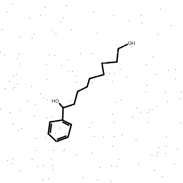 OCCCCCCCCC(O)c1ccccc1